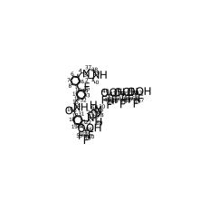 C[C@H]1CN(Cc2cccc(-c3cc(CNC(=O)c4cccc(CN5C[C@@H]6C[C@H]5CN6C)c4)ccc3F)c2)CCN1.O=C(O)C(F)(F)F.O=C(O)C(F)(F)F.O=C(O)C(F)(F)F.O=C(O)C(F)(F)F